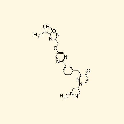 CC(C)c1nc(COc2cnc(-c3cccc(Cc4nn(-c5cnn(C)c5)ccc4=O)c3)nc2)no1